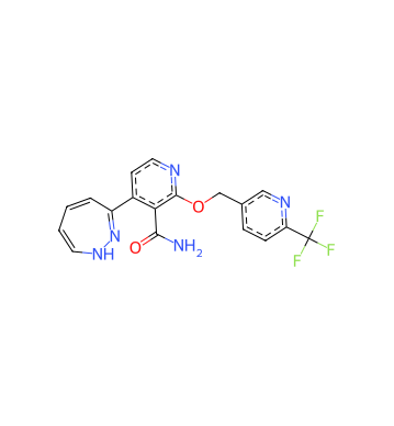 NC(=O)c1c(C2=NNC=CC=C2)ccnc1OCc1ccc(C(F)(F)F)nc1